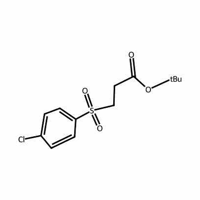 CC(C)(C)OC(=O)CCS(=O)(=O)c1ccc(Cl)cc1